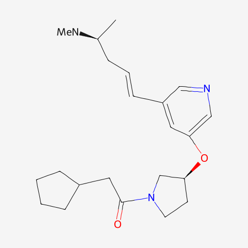 CN[C@@H](C)C/C=C/c1cncc(O[C@H]2CCN(C(=O)CC3CCCC3)C2)c1